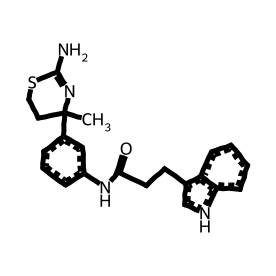 CC1(c2cccc(NC(=O)CCc3c[nH]c4ccccc34)c2)CCSC(N)=N1